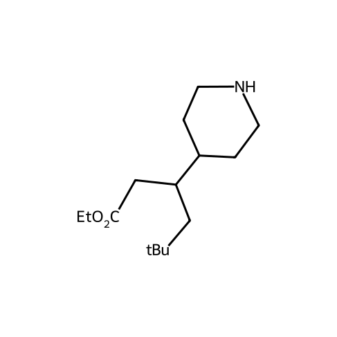 CCOC(=O)CC(CC(C)(C)C)C1CCNCC1